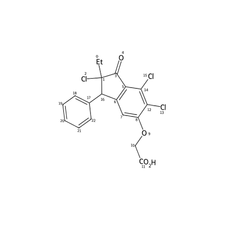 CCC1(Cl)C(=O)c2c(cc(OCC(=O)O)c(Cl)c2Cl)C1c1ccccc1